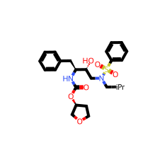 CC(C)CN(C[C@@H](O)[C@H](Cc1ccccc1)NC(=O)O[C@H]1CCOC1)S(=O)(=O)c1ccccc1